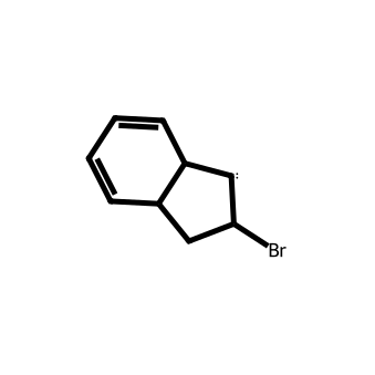 BrC1[C]C2C=CC=CC2C1